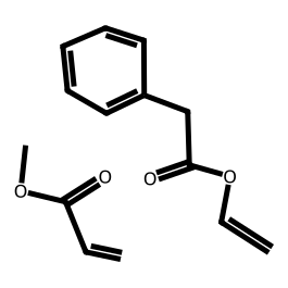 C=CC(=O)OC.C=COC(=O)Cc1ccccc1